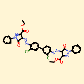 CCOC(=O)C1=NN(c2ccccc2)C(=O)C1/N=N/c1ccc(-c2ccc(/N=N/C3C(=O)N(c4ccccc4)N=C3C(=O)OCC)c(Cl)c2)cc1Cl